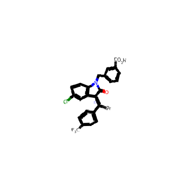 CC(C)/C(=C1\C(=O)N(Cc2cccc(C(=O)O)c2)c2ccc(Cl)cc21)c1ccc(C(F)(F)F)cc1